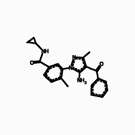 Cc1ccc(C(=O)NC2CC2)cc1-n1nc(C)c(C(=O)c2ccccc2)c1N